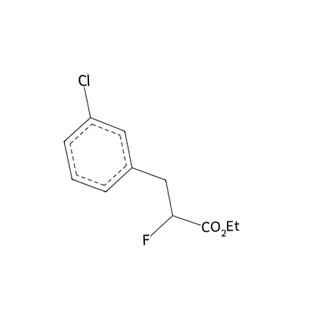 CCOC(=O)C(F)Cc1cccc(Cl)c1